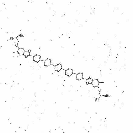 CCCCC(CC)COc1cc2oc(-c3ccc(-c4ccc(-c5ccc(-c6ccc(-c7ccc(-c8nc9cc(C)c(OCC(CC)CCCC)cc9o8)cc7)cc6)cc5)cc4)cc3)nc2cc1C